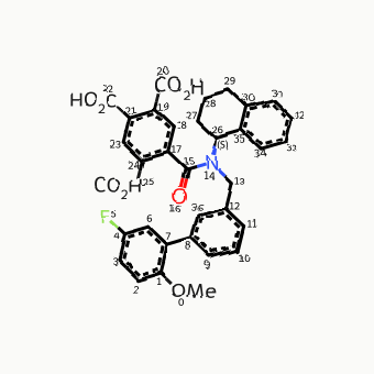 COc1ccc(F)cc1-c1cccc(CN(C(=O)c2cc(C(=O)O)c(C(=O)O)cc2C(=O)O)[C@H]2CCCc3ccccc32)c1